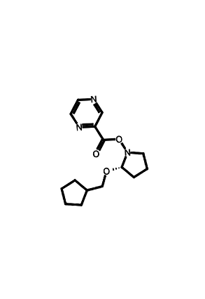 O=C(ON1CCC[C@@H]1OCC1CCCC1)c1cnccn1